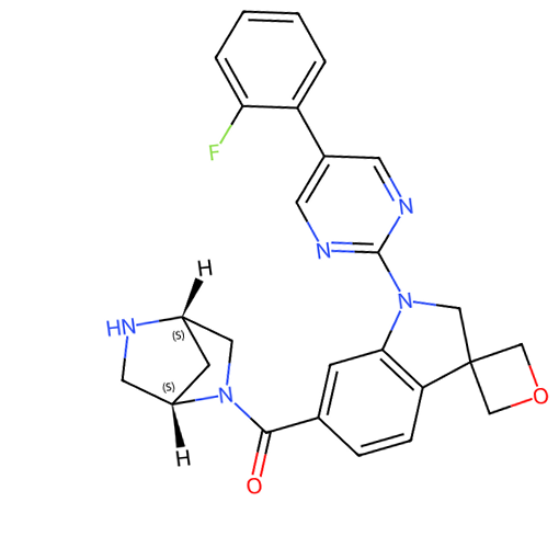 O=C(c1ccc2c(c1)N(c1ncc(-c3ccccc3F)cn1)CC21COC1)N1C[C@@H]2C[C@H]1CN2